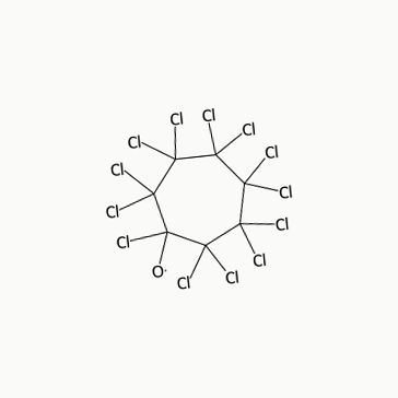 [O]C1(Cl)C(Cl)(Cl)C(Cl)(Cl)C(Cl)(Cl)C(Cl)(Cl)C(Cl)(Cl)C1(Cl)Cl